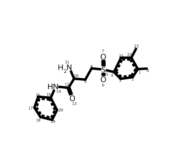 Cc1ccc(S(=O)(=O)CCC(N)C(=O)Nc2ccccc2)cc1C